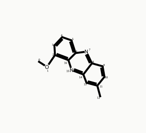 COc1cccc2nc3ccc(C)cc3nc12